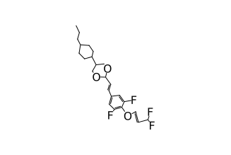 CCCC1CCC(C2COC(/C=C/c3cc(F)c(O/C=C/C(F)F)c(F)c3)OC2)CC1